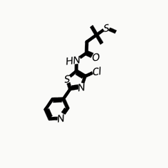 CSC(C)(C)CC(=O)Nc1sc(-c2cccnc2)nc1Cl